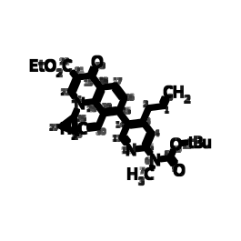 C=CCc1cc(N(C)C(=O)OC(C)(C)C)ncc1-c1ccc2c(=O)c(C(=O)OCC)cn(C3CC3)c2c1C=C